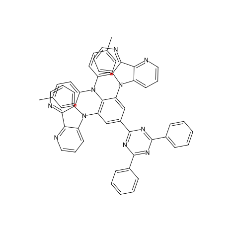 Cc1ccc(N(c2ccc(C)cc2)c2c(-n3c4cccnc4c4ncccc43)cc(-c3nc(-c4ccccc4)nc(-c4ccccc4)n3)cc2-n2c3cccnc3c3ncccc32)cc1